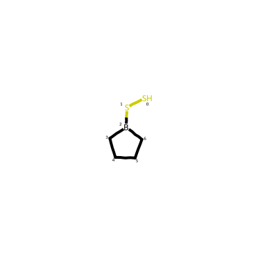 SSB1CCCC1